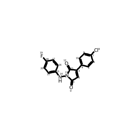 O=C1C=C(c2ccc(Cl)cc2)C(=O)N1Nc1ccc(F)cc1